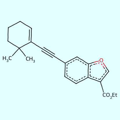 CCOC(=O)c1coc2cc(C#CC3=CCCCC3(C)C)ccc12